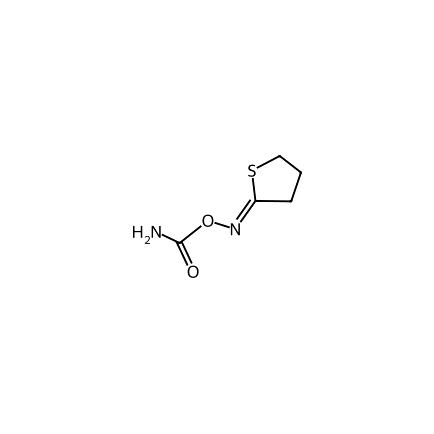 NC(=O)O/N=C1/CCCS1